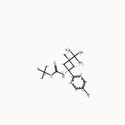 BC(B)(O)[C@]1(C)C[C@@](NC(=O)OC(C)(C)C)(c2ncc(Br)cn2)C1